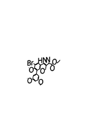 CCOC(=O)c1n[nH]c2c1COc1c-2cc(Br)c(OC)c1-c1cc(OC)cc(OC)c1